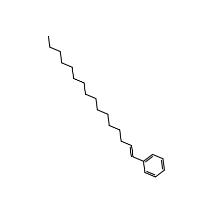 CCCCCCCCCCCCCCC=Cc1ccccc1